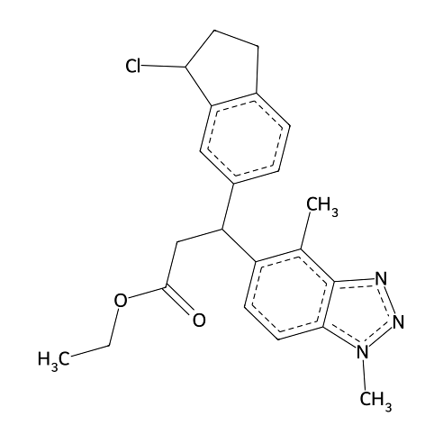 CCOC(=O)CC(c1ccc2c(c1)C(Cl)CC2)c1ccc2c(nnn2C)c1C